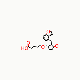 O=C(O)CCCCOC[C@H]1CCC(=O)C1Cc1cccc2occc12